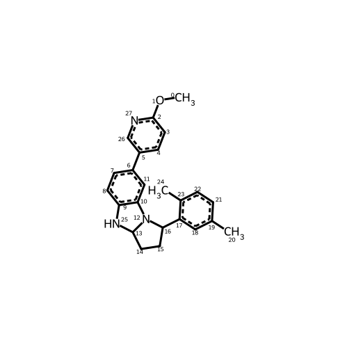 COc1ccc(-c2ccc3c(c2)N2C(CCC2c2cc(C)ccc2C)N3)cn1